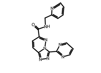 O=C(NCc1ccccn1)c1ccc2nnc(-c3ncccn3)n2n1